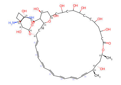 C[C@H]1C[C@H](O)[C@@H](C)/C=C/C=C/C=C/C=C/C=C/C=C/C=C/[C@H](O[C@@H]2OC[C@@H](O)[C@H](N)[C@H]2O)C[C@@H]2O[C@](O)(CC(O)CC(O)C(O)CCC(O)CC(O)CC(=O)O1)C[C@H](O)C2C(=O)NC1CCC1